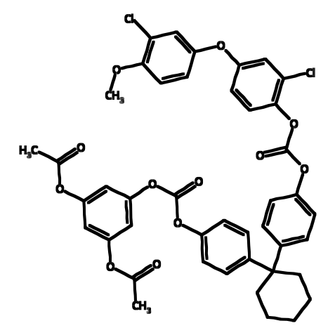 COc1ccc(Oc2ccc(OC(=O)Oc3ccc(C4(c5ccc(OC(=O)Oc6cc(OC(C)=O)cc(OC(C)=O)c6)cc5)CCCCC4)cc3)c(Cl)c2)cc1Cl